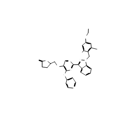 CCOc1cc(F)c(Cn2nc(-c3ncc(OCC4CCC(=O)N4)c(Nc4ccncc4)n3)c3ccccc32)c(F)c1